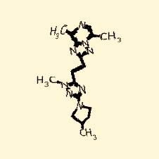 Cc1ncc(C)n2nc(/C=C/c3nc(N4CCC(C)C4)nn3C)nc12